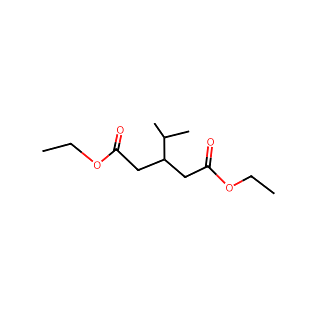 CCOC(=O)CC(CC(=O)OCC)C(C)C